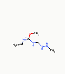 C=C/N=C(\NCNNC)OC